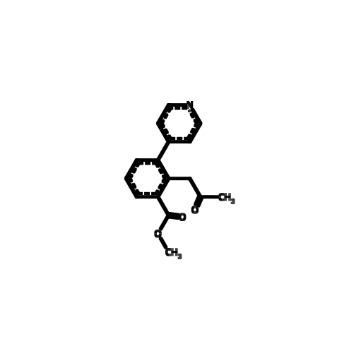 COC(=O)c1cccc(-c2ccncc2)c1CC(C)=O